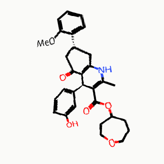 COc1ccccc1[C@H]1CC(=O)C2=C(C1)NC(C)=C(C(=O)OC1CCCOCC1)[C@H]2c1cccc(O)c1